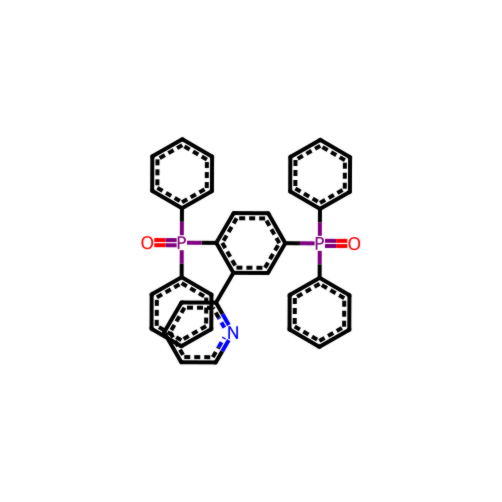 O=P(c1ccccc1)(c1ccccc1)c1ccc(P(=O)(c2ccccc2)c2ccccc2)c(-c2ccccn2)c1